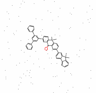 CC1(C)c2ccc(-c3cc(-c4ccccc4)cc(-c4ccccc4)c3)cc2C(=O)c2cc(-c3ccc4c(c3)C(C)(C)c3ccccc3-4)ccc21